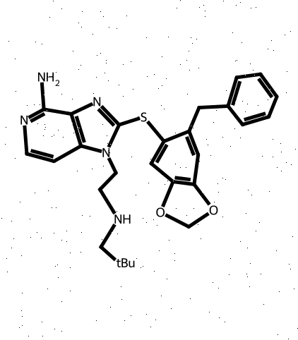 CC(C)(C)CNCCn1c(Sc2cc3c(cc2Cc2ccccc2)OCO3)nc2c(N)nccc21